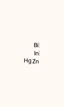 [Bi].[Hg].[In].[Zn]